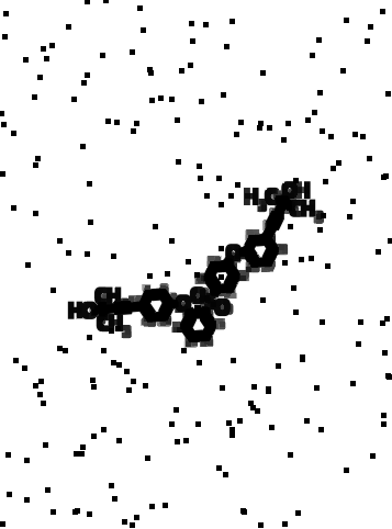 CC(C)(O)C#Cc1ccc(Oc2ccccc2S(=O)(=O)c2ccc(Oc3cccc(C#CC(C)(C)O)c3)cc2)cc1